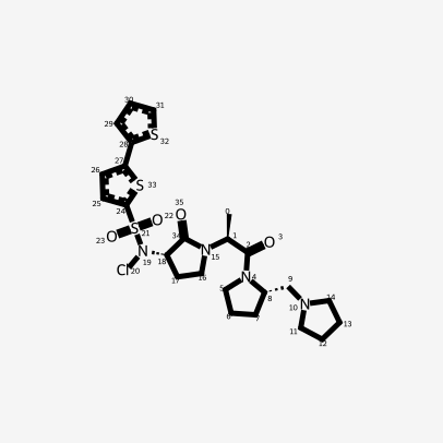 C[C@@H](C(=O)N1CCC[C@H]1CN1CCCC1)N1CC[C@H](N(Cl)S(=O)(=O)c2ccc(-c3cccs3)s2)C1=O